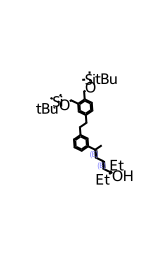 CCC(O)(/C=C/C=C(\C)c1cccc(CCc2ccc(CO[Si](C)(C)C(C)(C)C)c(CO[Si](C)(C)C(C)(C)C)c2)c1)CC